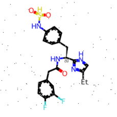 CCc1c[nH]c([C@H](Cc2ccc(N[SH](=O)=O)cc2)NC(=O)Cc2ccc(F)c(F)c2)n1